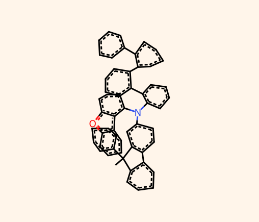 CC1(c2ccccc2)c2ccccc2-c2ccc(N(c3ccccc3-c3ccccc3-c3ccccc3-c3ccccc3)c3cccc4oc5ccccc5c34)cc21